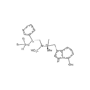 CC[Si](CC)(CC)O[C@@H](CN(C(=O)O)[C@](C)(Cc1c[nH]c2c(O)cccc12)C(C)(C)C)c1cccnc1